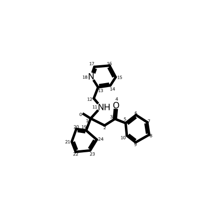 CC(CC(=O)c1ccccc1)(NCc1ccccn1)c1ccccc1